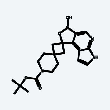 CC(C)(C)OC(=O)N1CCC2(CC1)CC1(C2)OB(O)c2cnc3[nH]ccc3c21